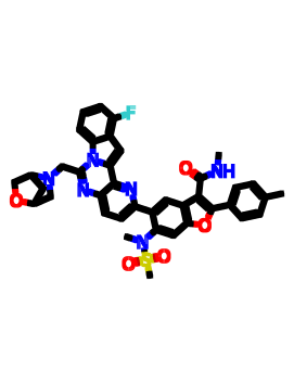 CNC(=O)c1c(-c2ccc(C)cc2)oc2cc(N(C)S(C)(=O)=O)c(-c3ccc4nc(CN5CC6CC5CO6)n5c6cccc(F)c6cc5c4n3)cc12